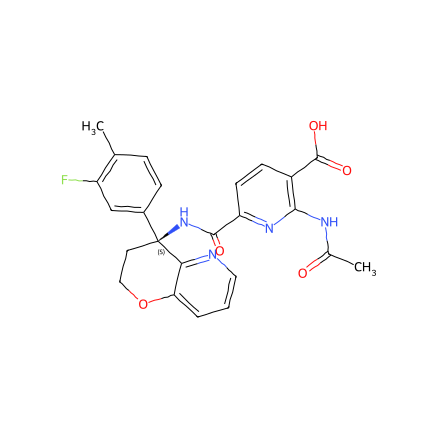 CC(=O)Nc1nc(C(=O)N[C@]2(c3ccc(C)c(F)c3)CCOc3cccnc32)ccc1C(=O)O